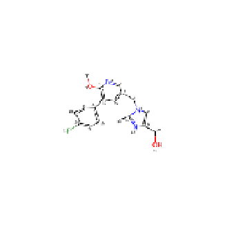 COc1ncc(Cn2cc(CO)nc2C)cc1-c1ccc(F)cc1